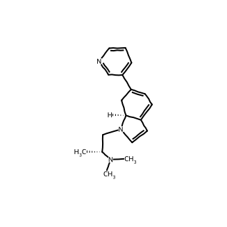 C[C@H](CN1C=CC2=CC=C(c3cccnc3)C[C@@H]21)N(C)C